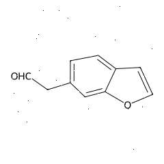 O=CCc1ccc2ccoc2c1